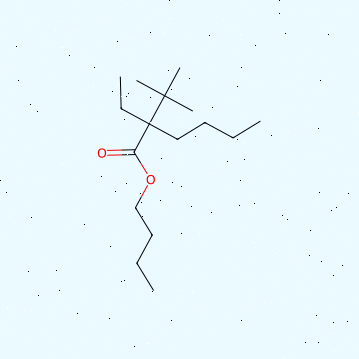 CCCCOC(=O)C(CC)(CCCC)C(C)(C)C